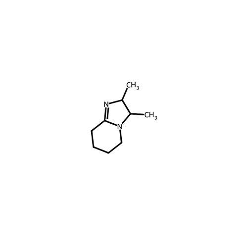 CC1N=C2CCCCN2C1C